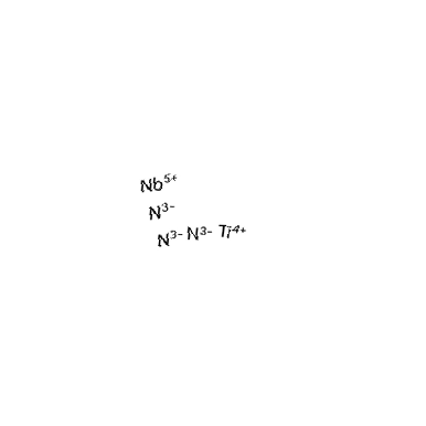 [N-3].[N-3].[N-3].[Nb+5].[Ti+4]